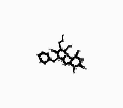 CCCc1c(O)n2c3c(=O)[nH]c(=O)n(C)c3nc2n(Cc2ccccc2)c1=O